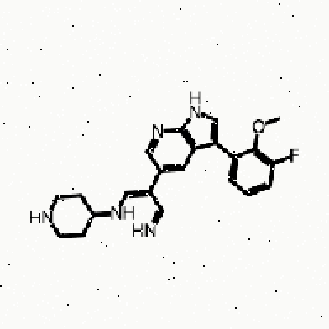 COc1c(F)cccc1-c1c[nH]c2ncc(/C(C=N)=C/NC3CCNCC3)cc12